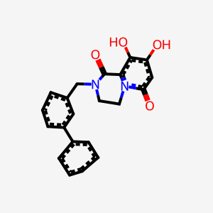 O=C1c2c(O)c(O)cc(=O)n2CCN1Cc1cccc(-c2ccccc2)c1